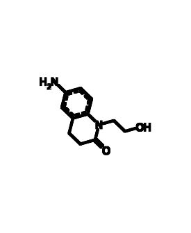 Nc1ccc2c(c1)CCC(=O)N2CCO